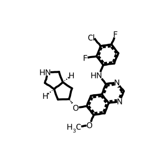 COc1cc2ncnc(Nc3ccc(F)c(Cl)c3F)c2cc1O[C@@H]1C[C@H]2CNC[C@H]2C1